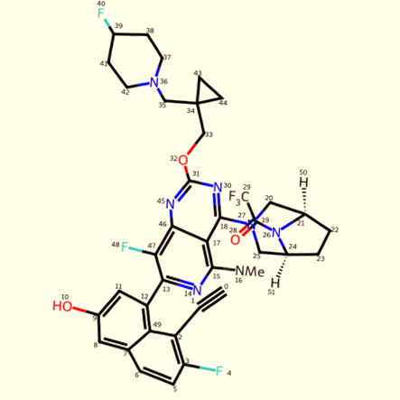 C#Cc1c(F)ccc2cc(O)cc(-c3nc(NC)c4c(N5C[C@H]6CC[C@@H](C5)N6C(=O)C(F)(F)F)nc(OCC5(CN6CCC(F)CC6)CC5)nc4c3F)c12